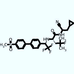 CC(C)(F)C[C@H](N[C@@H](c1ccc(-c2ccc(S(C)(=O)=O)cc2)cc1)C(F)(F)F)C(=O)NC(C#N)CC1CC1